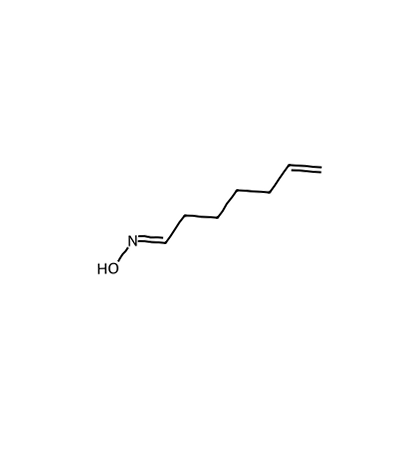 C=CCCCC/C=N/O